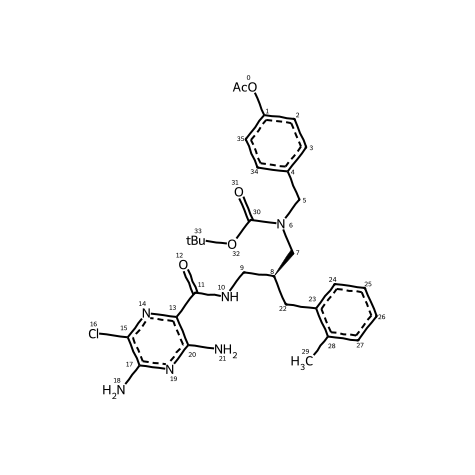 CC(=O)Oc1ccc(CN(C[C@H](CNC(=O)c2nc(Cl)c(N)nc2N)Cc2ccccc2C)C(=O)OC(C)(C)C)cc1